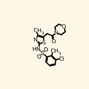 Cc1nc(NS(=O)(=O)c2cccc(Cl)c2C)sc1CC(=O)N1CCOCC1